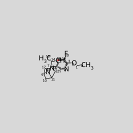 CCOc1ncc(CN2C3CC2CN(C(C)C)C3)cc1F